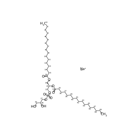 CCCCCCCCCCCCCCCCC(=O)OC[C@H](COP(=O)([O-])OCC(O)CO)OC(=O)CCCCCCCCCCCCCCCC.[Na+]